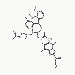 CCOC(=O)c1cc2c(C)c(NC(=O)C[C@H]3O[C@H](c4cccc(OC)c4OC)c4cc(Cl)ccc4N(CC(C)(C)COC(C)=O)C3=O)c(C)c(C)c2o1